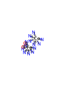 N#[C][Co]([C]#N)([C]#N)([C]#N)([C]#N)[C]#N.N#[C][Fe]([C]#N)([C]#N)([C]#N)([C]#N)([C]#N)[N+](=O)[O-]